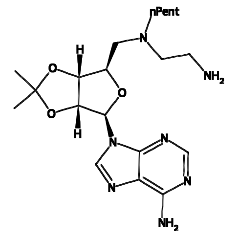 CCCCCN(CCN)C[C@H]1O[C@@H](n2cnc3c(N)ncnc32)[C@@H]2OC(C)(C)O[C@@H]21